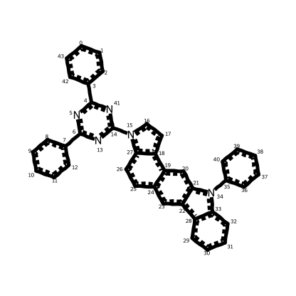 c1ccc(-c2nc(-c3ccccc3)nc(-n3ccc4c5cc6c(cc5ccc43)c3ccccc3n6-c3ccccc3)n2)cc1